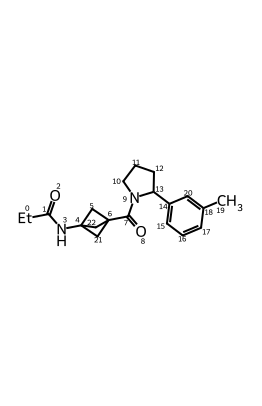 CCC(=O)NC12CC(C(=O)N3CCCC3c3cccc(C)c3)(C1)C2